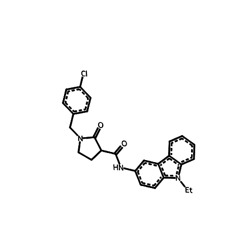 CCn1c2ccccc2c2cc(NC(=O)C3CCN(Cc4ccc(Cl)cc4)C3=O)ccc21